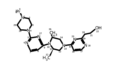 CC(C)N1CCN(c2nccc(N3[C@H](C)CN(c4ccnc(CCO)n4)C[C@@H]3C)n2)CC1